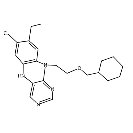 CCc1cc2c(cc1Cl)Nc1cncnc1N2CCOCC1CCCCC1